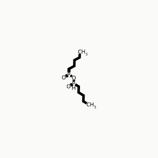 CCCCC[PH](=O)O[PH](=O)CCCCC